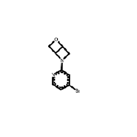 Brc1ccnc(N2CC3OCC32)c1